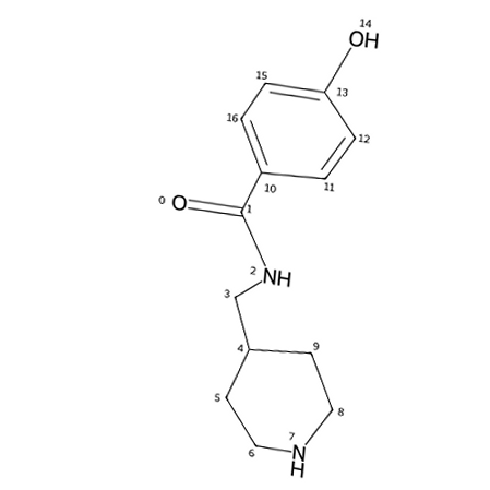 O=C(NCC1CCNCC1)c1ccc(O)cc1